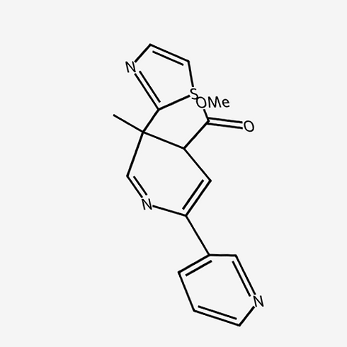 COC(=O)C1C=C(c2cccnc2)N=CC1(C)c1nccs1